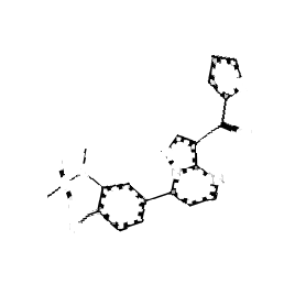 CN(c1cc(-c2ccnc3c(C(=O)c4cccs4)cnn23)ccc1Cl)S(C)(=O)=O